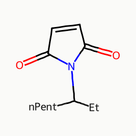 CCCCCC(CC)N1C(=O)C=CC1=O